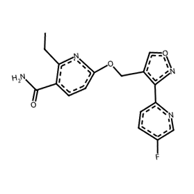 CCc1nc(OCc2conc2-c2ccc(F)cn2)ccc1C(N)=O